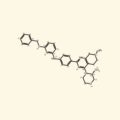 CCCN1CCc2c(nc(-c3ccc(Nc4cccc(OCc5ccccc5)n4)cc3)nc2N2CCOC[C@@H]2C)C1